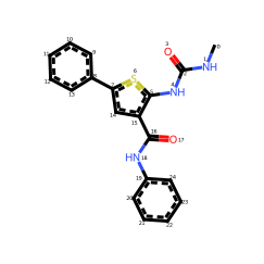 CNC(=O)Nc1sc(-c2ccccc2)cc1C(=O)Nc1ccccc1